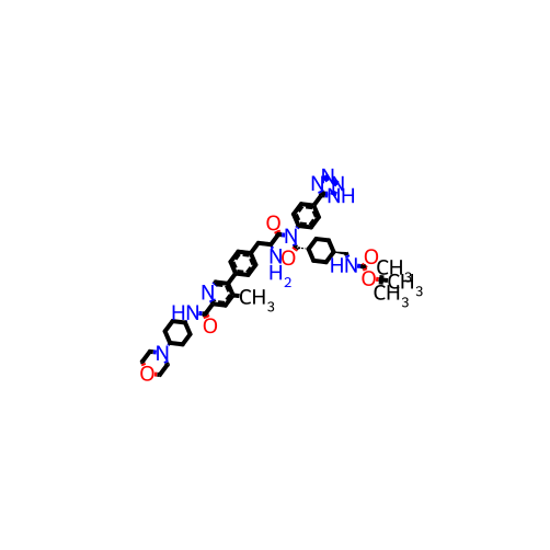 Cc1cc(C(=O)N[C@H]2CC[C@H](N3CCOCC3)CC2)ncc1-c1ccc(C[C@H](N)C(=O)N(c2ccc(-c3nnn[nH]3)cc2)C(=O)[C@H]2CC[C@H](CNC(=O)OC(C)(C)C)CC2)cc1